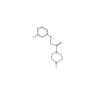 Cc1cccc(OCC(=O)N2CCN(C)CC2)c1